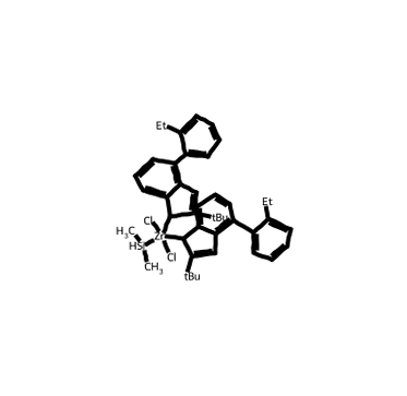 CCc1ccccc1-c1cccc2c1C=C(C(C)(C)C)[CH]2[Zr]([Cl])([Cl])([CH]1C(C(C)(C)C)=Cc2c(-c3ccccc3CC)cccc21)[SiH](C)C